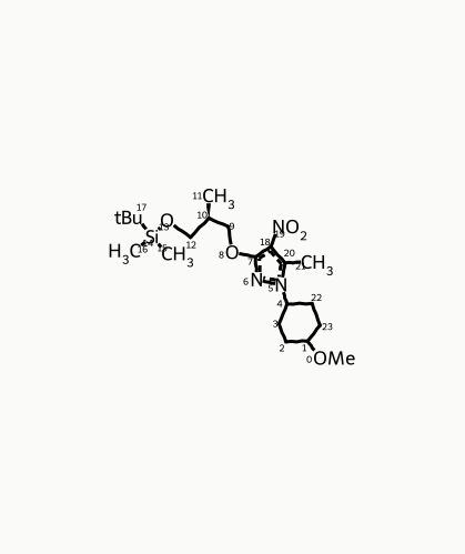 COC1CCC(n2nc(OC[C@H](C)CO[Si](C)(C)C(C)(C)C)c([N+](=O)[O-])c2C)CC1